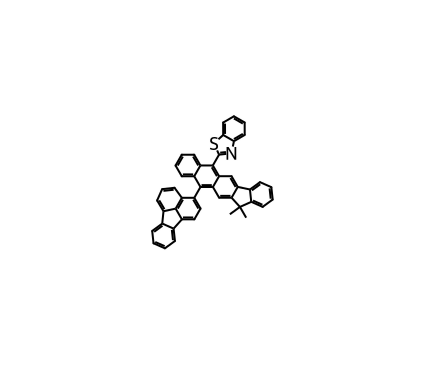 CC1(C)c2ccccc2-c2cc3c(-c4nc5ccccc5s4)c4ccccc4c(-c4ccc5c6c(cccc46)-c4ccccc4-5)c3cc21